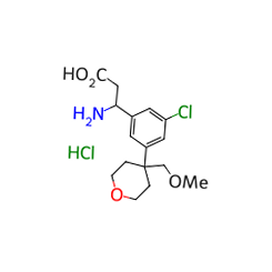 COCC1(c2cc(Cl)cc(C(N)CC(=O)O)c2)CCOCC1.Cl